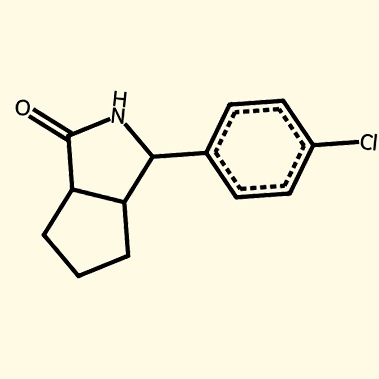 O=C1NC(c2ccc(Cl)cc2)C2CCCC12